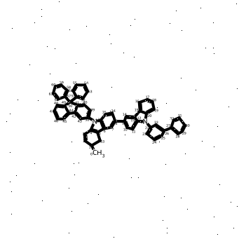 CC1C=Cc2c(c3cc(-c4ccc5c(c4)c4ccccc4n5-c4cccc(-c5ccccc5)c4)ccc3n2-c2ccc3c(c2)-c2ccccc2C3(c2ccccc2)c2ccccc2)C1